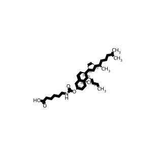 CCCC[C@H]1[C@H]([C@@H]2CC[C@H]([C@H](C)CCCC(C)C)C2)CC=C2C[C@@H](OC(=O)NCCCCCC(=O)O)CC[C@@]21C